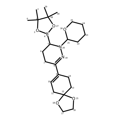 CC1(C)OB(C2CCC(C3=CCC4(CC3)OCCO4)=NN2C2CCCCO2)OC1(C)C